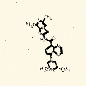 Cc1cn2cc(NC(=O)c3ccc(N4C[C@@H](C)N[C@@H](C)C4)c4nccnc34)nc2c(C)n1